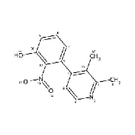 Cc1nccc(-c2cccc(O)c2[N+](=O)[O-])c1C